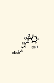 CCCCCCCCCCCCNOS(=O)(=O)c1ccccc1.[NaH]